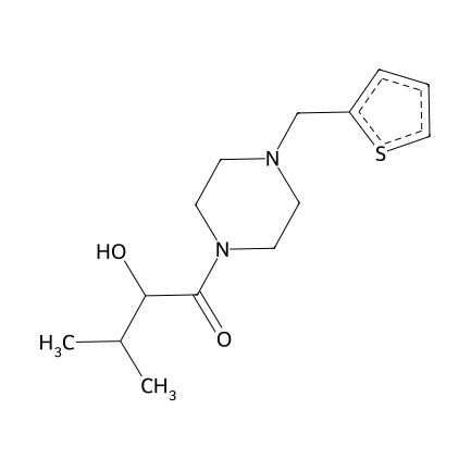 CC(C)C(O)C(=O)N1CCN(Cc2cccs2)CC1